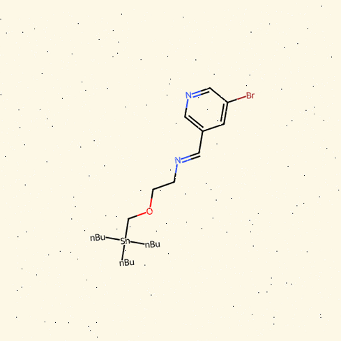 CCC[CH2][Sn]([CH2]CCC)([CH2]CCC)[CH2]OCCN=Cc1cncc(Br)c1